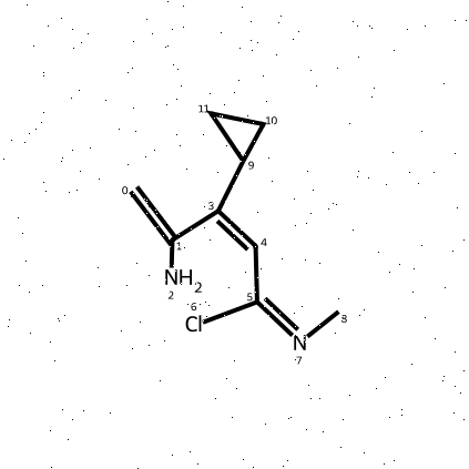 C=C(N)/C(=C\C(Cl)=N/C)C1CC1